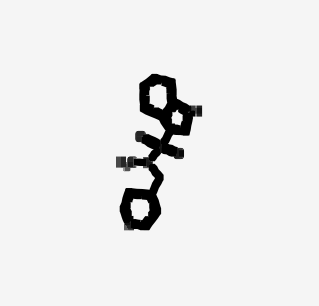 CN(Cc1ccncc1)S(=O)(=O)c1c[nH]c2ccccc12